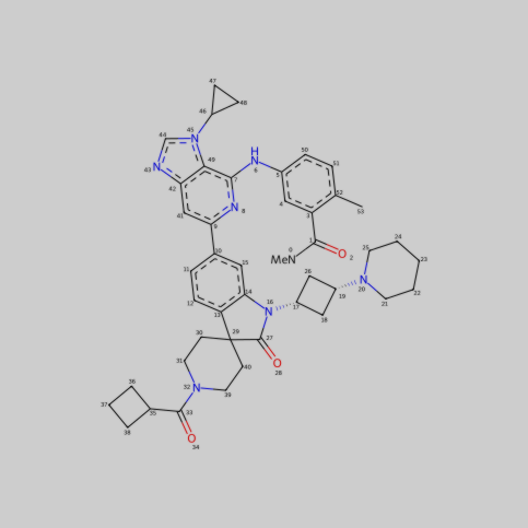 CNC(=O)c1cc(Nc2nc(-c3ccc4c(c3)N([C@H]3C[C@@H](N5CCCCC5)C3)C(=O)C43CCN(C(=O)C4CCC4)CC3)cc3ncn(C4CC4)c23)ccc1C